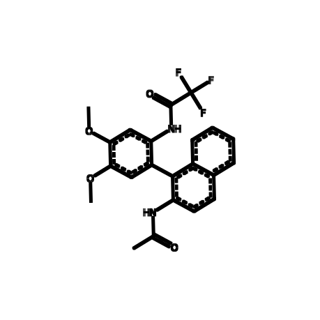 COc1cc(NC(=O)C(F)(F)F)c(-c2c(NC(C)=O)ccc3ccccc23)cc1OC